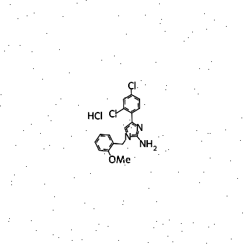 COc1ccccc1Cn1cc(-c2ccc(Cl)cc2Cl)nc1N.Cl